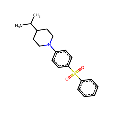 CC(C)C1CCN(c2ccc(S(=O)(=O)c3ccccc3)cc2)CC1